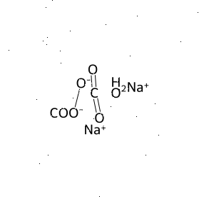 O.O=C([O-])[O-].O=C=O.[Na+].[Na+]